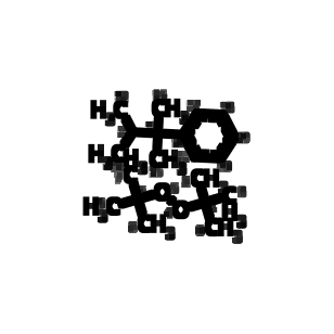 CC(C)(C)OOC(C)(C)C.CC(C)C(C)(C)c1ccccc1